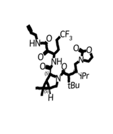 C=CCNC(=O)C(=O)C(CCC(F)(F)F)NC(=O)[C@@H]1C2[C@H](CN1C(=O)C([C@H](CN1CCOC1=O)C(C)C)C(C)(C)C)C2(C)C